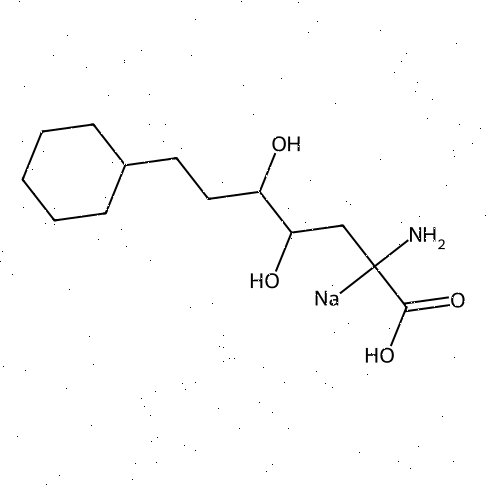 N[C]([Na])(CC(O)C(O)CCC1CCCCC1)C(=O)O